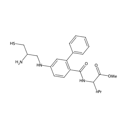 CCCC(NC(=O)c1ccc(NCC(N)CS)cc1-c1ccccc1)C(=O)OC